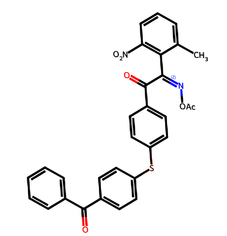 CC(=O)O/N=C(\C(=O)c1ccc(Sc2ccc(C(=O)c3ccccc3)cc2)cc1)c1c(C)cccc1[N+](=O)[O-]